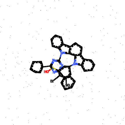 CCc1c(SO)cc(-n2c3ccccc3c3ccc4c5ccccc5n(-c5nc(-c6ccccc6)nc(-c6ccccc6)n5)c4c32)cc1S(=O)(=O)O